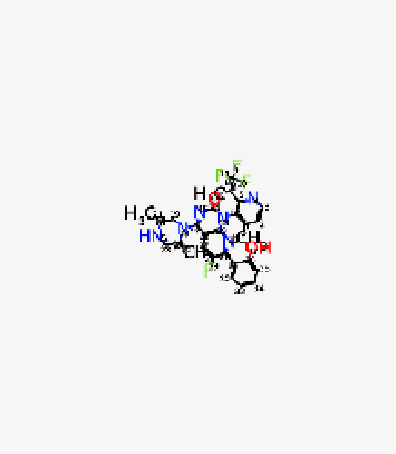 Cc1ccnc(C(C)C(F)(F)F)c1-n1c(=O)nc(N2C[C@@H](C)NC[C@@H]2C)c2cc(F)c(-c3ccccc3O)nc21